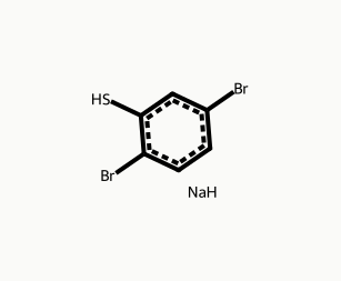 Sc1cc(Br)ccc1Br.[NaH]